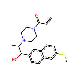 C=CC(=O)N1CCN(C(C)C(O)c2ccc3cc(SC)ccc3c2)CC1